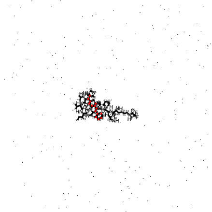 CC[C@H](C)[C@H](NC(=O)[C@@H](NC(=O)[C@H](CC(C)C)NC(=O)[C@H](Cc1c[nH]cn1)NC(=O)[C@H](Cc1ccccc1)NC(=O)[C@@H]1CCCN1C(=O)[C@H](Cc1c[nH]cn1)NC(=O)[C@@H](N)CCCCNC(=O)C(F)(F)F)C(C)C)C(=O)N[C@@H](Cc1c[nH]cn1)C(=O)N[C@@H](CCCCN)C(=O)O